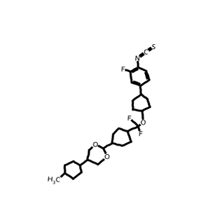 CC1CCC(C2COC(C3CCC(C(F)(F)OC4CCC(c5ccc(N=C=S)c(F)c5)CC4)CC3)OC2)CC1